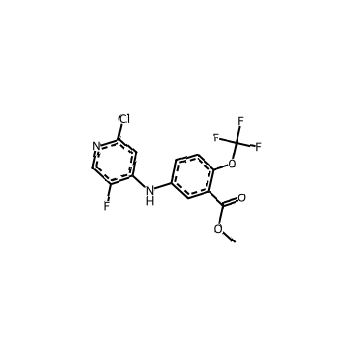 COC(=O)c1cc(Nc2cc(Cl)ncc2F)ccc1OC(F)(F)F